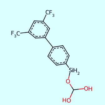 OC(O)O[SiH2]c1ccc(-c2cc(C(F)(F)F)cc(C(F)(F)F)c2)cc1